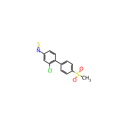 CS(=O)(=O)c1ccc(-c2ccc(N=S)cc2Cl)cc1